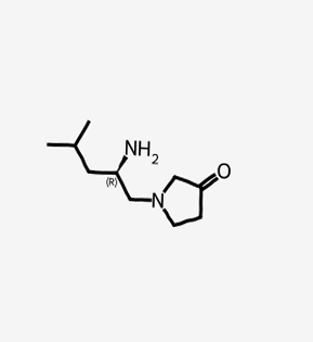 CC(C)C[C@@H](N)CN1CCC(=O)C1